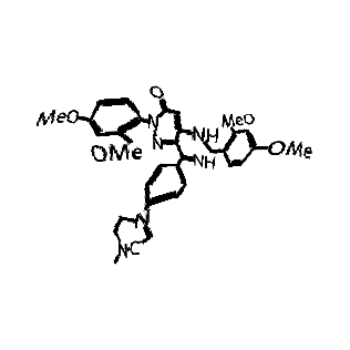 COc1ccc(CNc2cc(=O)n(-c3ccc(OC)cc3OC)nc2C(=N)c2ccc(N3CCN(C)CC3)cc2)c(OC)c1